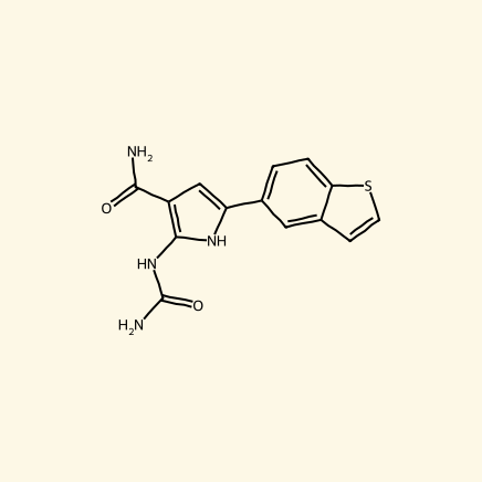 NC(=O)Nc1[nH]c(-c2ccc3sccc3c2)cc1C(N)=O